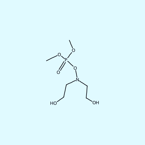 COP(=O)(OC)ON(CCO)CCO